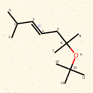 CC(C)/C=C/CC(C)(C)OC(C)(C)C